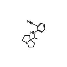 CC(Nc1ccccc1C#N)C12CCCN1CCC2